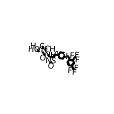 CN(C)[C@@H](CO)C(=O)NC1=NC(=O)S/C1=C\C1CCN(Cc2ccc(C(F)(F)F)cc2C(F)(F)F)CC1